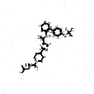 CC(C)CNC(=S)N1CCC(c2nc(C(=O)Nc3ccccc3-c3ccc(OC(F)(F)F)cc3)cs2)CC1